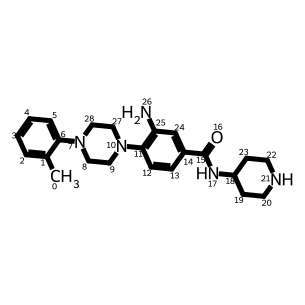 Cc1ccccc1N1CCN(c2ccc(C(=O)NC3CCNCC3)cc2N)CC1